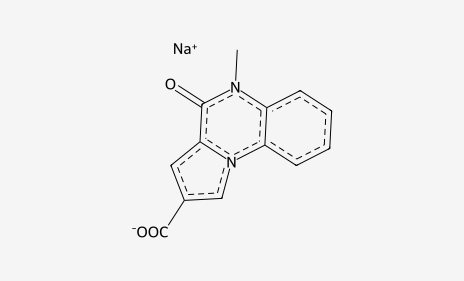 Cn1c(=O)c2cc(C(=O)[O-])cn2c2ccccc21.[Na+]